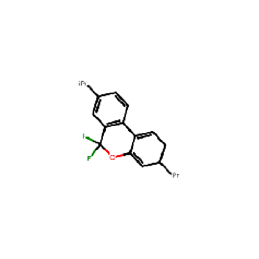 CC(C)c1ccc2c(c1)C(F)(F)OC1=CC(C(C)C)CC=C12